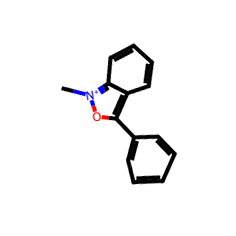 C[n+]1oc(-c2ccccc2)c2ccccc21